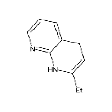 CCC1=CCc2cccnc2N1